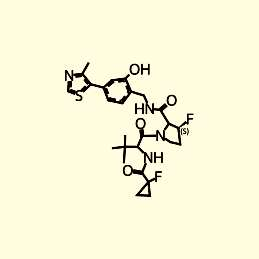 Cc1ncsc1-c1ccc(CNC(=O)C2[C@@H](F)CCN2C(=O)C(NC(=O)C2(F)CC2)C(C)(C)C)c(O)c1